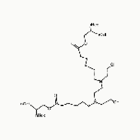 CCCCCCCCC(CCCCCC)COC(=O)CCCCCN(CCO)CCN(CCO)CCCCCC(=O)OCC(CCCCCC)CCCCCCCC